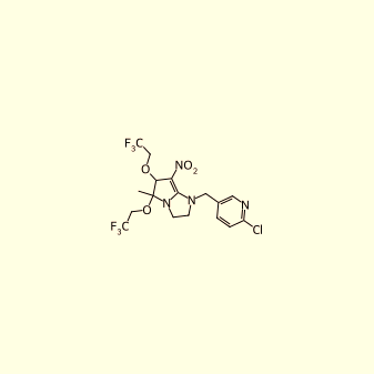 CC1(OCC(F)(F)F)C(OCC(F)(F)F)C([N+](=O)[O-])=C2N(Cc3ccc(Cl)nc3)CCN21